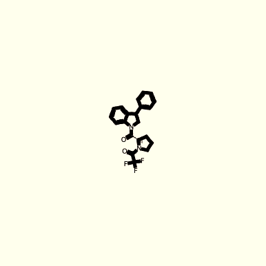 O=C([C@@H]1CCCN1C(=O)C(F)(F)F)N1CC(c2ccccc2)c2ccccc21